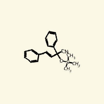 C[Si](C)(C)OC(C#N)(C=Cc1ccccc1)c1ccccc1